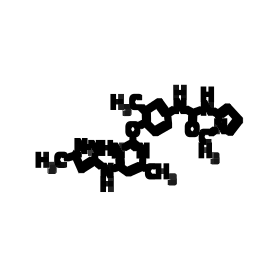 Cc1cc(Nc2cc(C)nc(Oc3ccc(NC(=O)Nc4cccn4C)cc3C)n2)[nH]n1